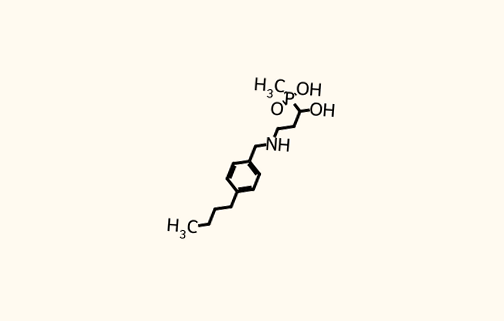 CCCCc1ccc(CNCCC(O)P(C)(=O)O)cc1